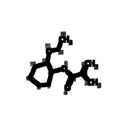 C=C(C)C(=O)OC1CCCCC1OCC